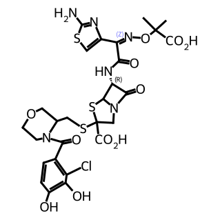 CC(C)(O/N=C(\C(=O)N[C@@H]1C(=O)N2CC(SCC3COCCN3C(=O)c3ccc(O)c(O)c3Cl)(C(=O)O)SC12)c1csc(N)n1)C(=O)O